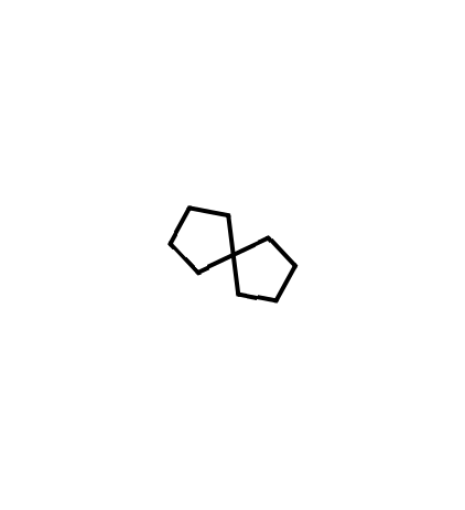 C1CCC2(C1)CCCC2